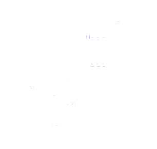 Cc1ccc(OCC(C)(C)CO)cn1